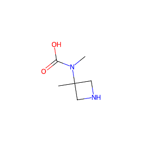 CN(C(=O)O)C1(C)CNC1